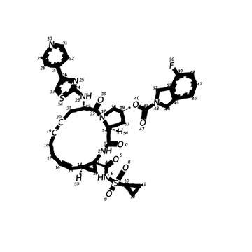 O=C1N[C@]2(C(=O)NS(=O)(=O)C3CC3)C[C@H]2/C=C\CCCCC[C@H](Nc2nc(-c3ccncc3)cs2)C(=O)N2C[C@H](OC(=O)N3Cc4cccc(F)c4C3)C[C@@H]12